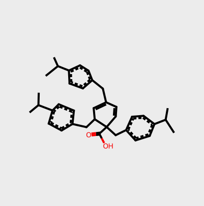 CC(C)c1ccc(CC2=CC(Cc3ccc(C(C)C)cc3)C(Cc3ccc(C(C)C)cc3)(C(=O)O)C=C2)cc1